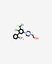 CCC(F)c1cc(N2CCN(CCO)CC2)cc(-c2ccccc2C(F)(F)F)c1Cl